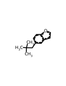 CC(C)(C)Cc1ccc2occc2c1